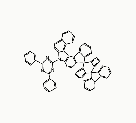 c1ccc(-c2nc(-c3ccccc3)nc(-n3c4ccc5c(c4c4c6ccccc6ccc43)-c3ccccc3C53c4ccccc4C4(c5ccccc5-c5ccccc54)c4ccccc43)n2)cc1